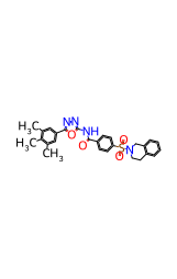 Cc1cc(-c2nnc(NC(=O)c3ccc(S(=O)(=O)N4CCc5ccccc5C4)cc3)o2)cc(C)c1C